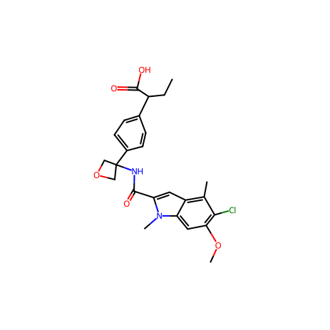 CCC(C(=O)O)c1ccc(C2(NC(=O)c3cc4c(C)c(Cl)c(OC)cc4n3C)COC2)cc1